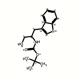 CC(C)(C)OC(=O)NC(CO)Cc1csc2ccccc12